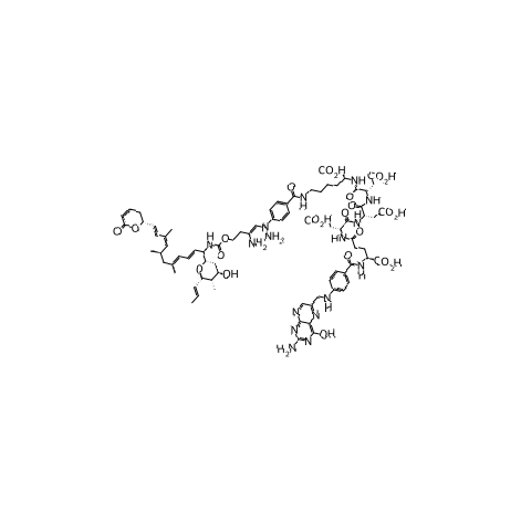 C/C=C/[C@@H]1O[C@H]([C@@H](/C=C/C=C(\C)C[C@@H](C)/C=C(C)\C=C\[C@H]2CC=CC(=O)O2)NC(=O)OCC/C(N)=C/N(N)c2ccc(C(=O)NCCCC[C@H](NC(=O)[C@H](CC(=O)O)NC(=O)[C@H](CC(=O)O)NC(=O)[C@@H](CC(=O)O)NC(=O)CC[C@H](NC(=O)c3ccc(NCc4cnc5nc(N)nc(O)c5n4)cc3)C(=O)O)C(=O)O)cc2)C[C@@H](O)[C@@H]1C